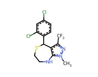 Cn1nc(C(F)(F)F)c2c1NCCSC2c1ccc(Cl)cc1Cl